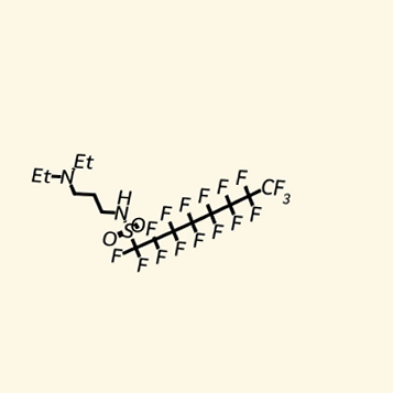 CCN(CC)CCCNS(=O)(=O)C(F)(F)C(F)(F)C(F)(F)C(F)(F)C(F)(F)C(F)(F)C(F)(F)C(F)(F)F